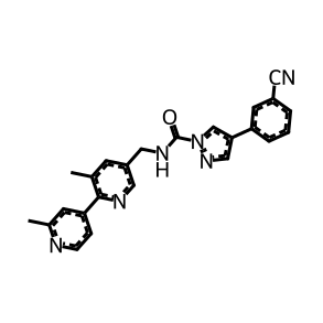 Cc1cc(-c2ncc(CNC(=O)n3cc(-c4cccc(C#N)c4)cn3)cc2C)ccn1